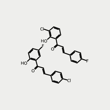 O=C(C=Cc1ccc(Cl)cc1)c1cc(F)ccc1O.O=C(C=Cc1ccc(F)cc1)c1cccc(Cl)c1O